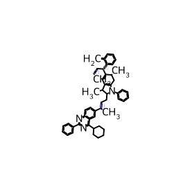 C=c1cccc/c1=C(/C=C\C)C1=CC2=C(CC1C)N(c1ccccc1)C(C/C=C(\C)c1ccc3nc(-c4ccccc4)nc(C4CCCCC4)c3c1)C2C